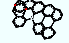 c1ccc(-c2cccc3cccc(-c4ccccc4N(c4cccc5ccccc45)c4cccc5sc6ccccc6c45)c23)cc1